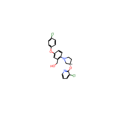 OCc1cc(Oc2ccc(Cl)cc2)ccc1N1CC[C@H](Oc2ncccc2Cl)C1